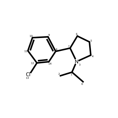 CC(C)N1CCCC1c1cccc(Cl)c1